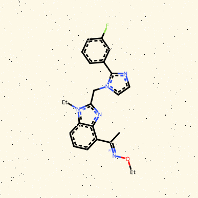 CCO/N=C(\C)c1cccc2c1nc(Cn1ccnc1-c1cccc(F)c1)n2CC